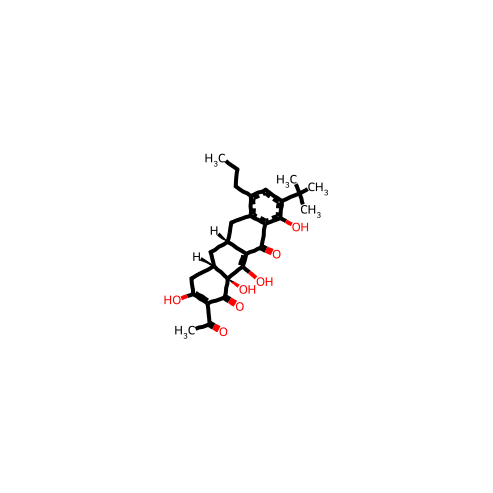 CCCc1cc(C(C)(C)C)c(O)c2c1C[C@H]1C[C@H]3CC(O)=C(C(C)=O)C(=O)[C@@]3(O)C(O)=C1C2=O